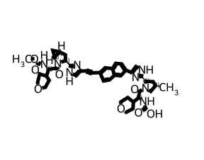 COC(=O)N[C@H](C(=O)N1[C@@H]2C[C@H]2C[C@H]1c1nc(C#Cc2ccc3cc(-c4c[nH]c([C@@H]5C[C@H](C)CN5C(=O)[C@@H](NC(=O)O)C5CCOCC5)n4)ccc3c2)c[nH]1)C1CCOCC1